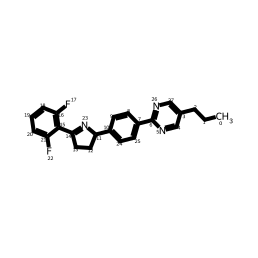 CCCc1cnc(-c2ccc(C3CCC(c4c(F)cccc4F)=N3)cc2)nc1